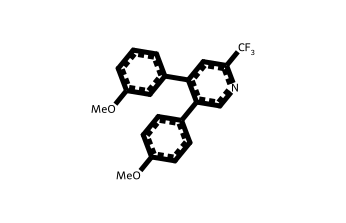 COc1ccc(-c2cnc(C(F)(F)F)cc2-c2cccc(OC)c2)cc1